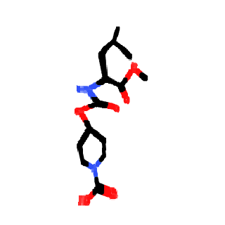 COC(=O)[C@H](CC(C)C)NC(=O)OC1CCN(C(=O)O)CC1